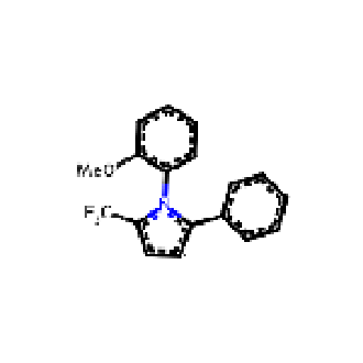 COc1ccccc1-n1c(-c2ccccc2)[c]cc1C(F)(F)F